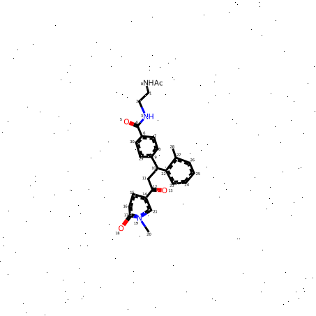 CC(=O)NCCNC(=O)c1ccc(C(CC(=O)c2ccc(=O)n(C)c2)c2ccccc2C)cc1